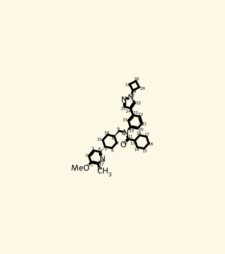 COc1ccc([C@H]2CC[C@H](CN(C(=O)C3CCCCC3)c3cccc(-c4cnn(C5CCC5)c4)c3)CC2)nc1C